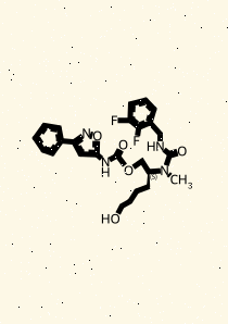 CN(C(=O)NCc1cccc(F)c1F)[C@@H](CCCCO)COC(=O)Nc1cc(-c2ccccc2)no1